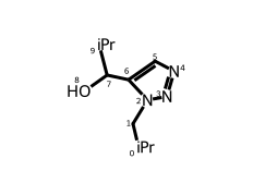 CC(C)Cn1nncc1C(O)C(C)C